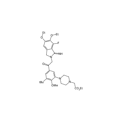 CCOC(=O)CN1CCN(c2cc(C(=O)CN3Cc4cc(OCC)c(OCC)c(F)c4C3=N)cc(C(C)(C)C)c2OC)CC1